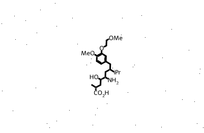 COCCOc1cc(CC(CC(N)C(O)CC(C)C(=O)O)C(C)C)ccc1OC